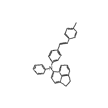 Cc1ccc(C=Cc2ccc(N(c3ccccc3)c3ccc4c5c(cccc35)CC4)cc2)cc1